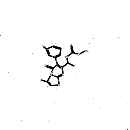 CCCCOC(=O)NC(C)c1nc2scc(C)n2c(=O)c1-c1cccc(F)c1